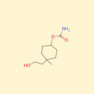 CC1(CCO)CCC(OC(N)=O)CC1